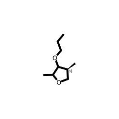 CCCOC1C(C)OC[C@@H]1C